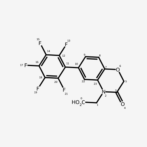 O=C(O)CN1C(=O)COc2ccc(-c3c(F)c(F)c(F)c(F)c3F)cc21